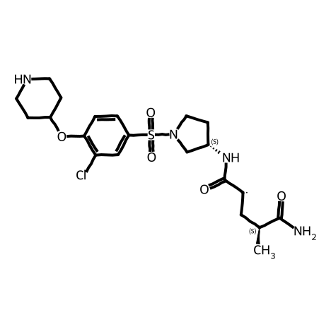 C[C@@H](C[CH]C(=O)N[C@H]1CCN(S(=O)(=O)c2ccc(OC3CCNCC3)c(Cl)c2)C1)C(N)=O